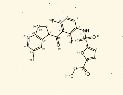 COC(=O)c1ccc(S(=O)(=O)Nc2ccc(F)c(C(=O)C3CNc4ncc(I)cc43)c2F)o1